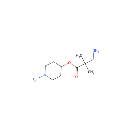 CN1CCC(OC(=O)C(C)(C)CN)CC1